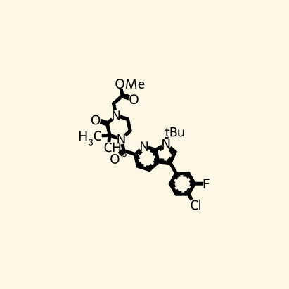 COC(=O)CN1CCN(C(=O)c2ccc3c(-c4ccc(Cl)c(F)c4)cn(C(C)(C)C)c3n2)C(C)(C)C1=O